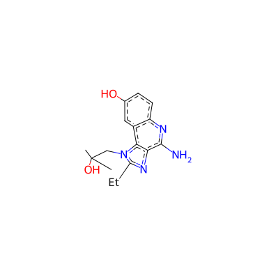 CCc1nc2c(N)nc3ccc(O)cc3c2n1CC(C)(C)O